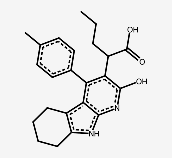 CCCC(C(=O)O)c1c(O)nc2[nH]c3c(c2c1-c1ccc(C)cc1)CCCC3